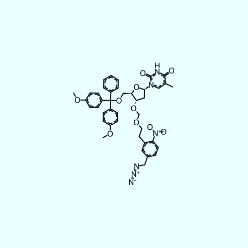 COc1ccc(C(OC[C@H]2O[C@@H](n3cc(C)c(=O)[nH]c3=O)C[C@@H]2OCOCCc2cc(CN=[N+]=[N-])ccc2[N+](=O)[O-])(c2ccccc2)c2ccc(OC)cc2)cc1